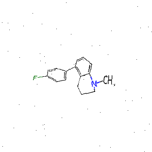 CN1CCCc2c(-c3ccc(F)cc3)cccc21